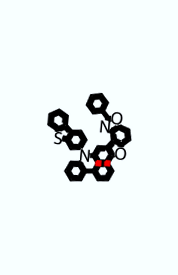 c1ccc(-c2nc3c(ccc4oc5ccc(N(c6ccc7c(c6)sc6ccccc67)c6ccccc6-c6ccccc6)cc5c43)o2)cc1